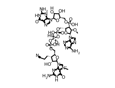 CO[C@@H]1[C@H](P(=O)(O)OC[C@H]2O[C@@H](n3cnc4c(=O)[nH]c(N)nc43)[C@H](O)[C@@H]2O)[C@@H](COP(=O)(O)OP(=O)(O)OP(=O)(O)OC[C@H]2OC(n3c[n+](C)c4c(=O)[nH]c(N)nc43)[C@H](O)[C@@H]2CCC#N)O[C@H]1n1cnc2c(N)ncnc21